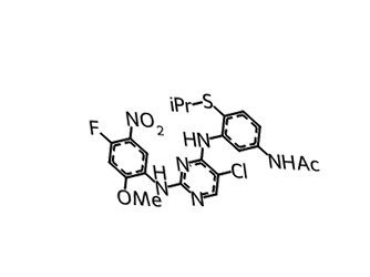 COc1cc(F)c([N+](=O)[O-])cc1Nc1ncc(Cl)c(Nc2cc(NC(C)=O)ccc2SC(C)C)n1